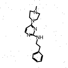 CN1CCN(c2ccnc(NCCc3ccccc3)n2)CC1